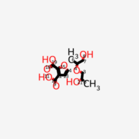 CC(O)COC(C)CO.O=C(O)c1ccoc1C(=O)O